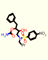 CC(C)CN(CC(O)C(Cc1ccccc1)OC(N)=O)S(=O)(=O)c1ccc([N+](=O)[O-])cc1